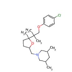 CC1CC(C)CN(CC2CCC(C)(C(C)(C)COc3ccc(Cl)cc3)O2)C1